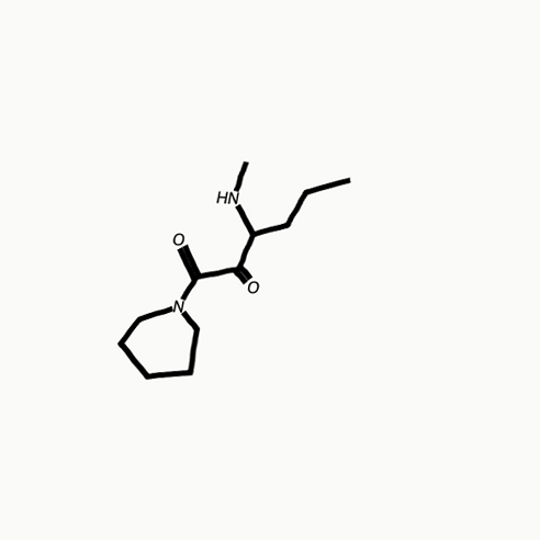 CCCC(NC)C(=O)C(=O)N1CCCCC1